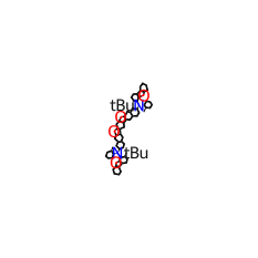 Cc1ccccc1N(c1ccc2cc3c(cc2c1)oc1cc2oc4cc5cc(N(c6ccccc6C)c6c(C(C)(C)C)ccc7c6oc6ccccc67)ccc5cc4c2cc13)c1c(C(C)(C)C)ccc2c1oc1ccccc12